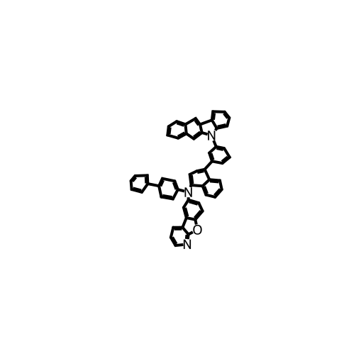 c1ccc(-c2ccc(N(c3ccc4oc5ncccc5c4c3)c3ccc(-c4cccc(-n5c6ccccc6c6cc7ccccc7cc65)c4)c4ccccc34)cc2)cc1